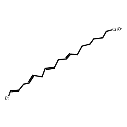 CCC=CCC=CCC=CCC=CCCCCCC[C]=O